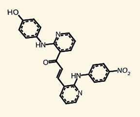 O=C(C=Cc1cccnc1Nc1ccc([N+](=O)[O-])cc1)c1cccnc1Nc1ccc(O)cc1